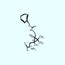 CC1(C)[C@](O)(C[C@H](N)C(=O)O)[C@]1(O)CNC(=O)OCc1ccccc1